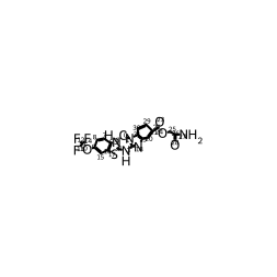 Cn1c(Nc2nc3ccc(OC(F)(F)F)cc3s2)nc2cc(C(=O)OCC(N)=O)ccc21